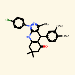 COc1ccc(C2C3=C(CC(C)(C)CC3=O)Nc3c2c(C(C)(C)C)nn3-c2ccc(Cl)cc2)cc1OC